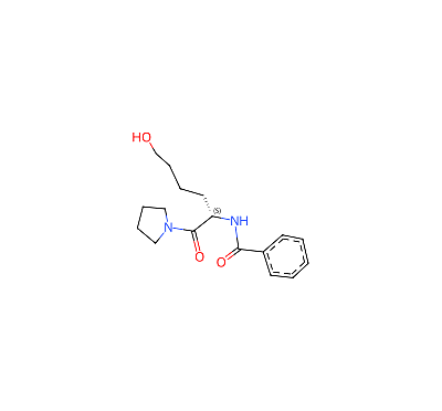 O=C(N[C@@H](CCCCO)C(=O)N1CCCC1)c1ccccc1